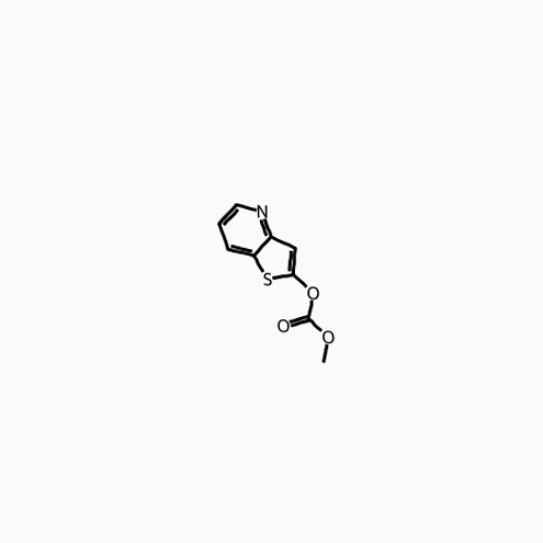 COC(=O)Oc1cc2ncccc2s1